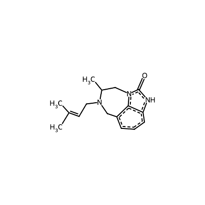 CC(C)=CCN1Cc2cccc3[nH]c(=O)n(c23)CC1C